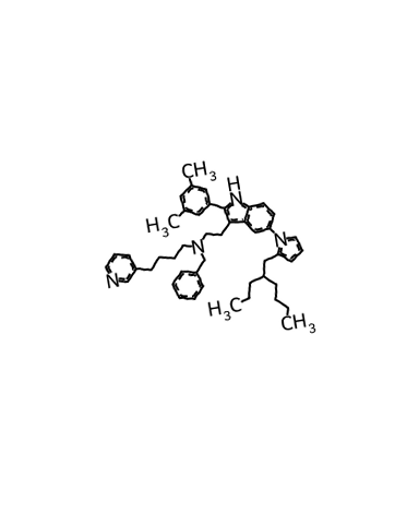 CCCCC(CCC)Cc1cccn1-c1ccc2[nH]c(-c3cc(C)cc(C)c3)c(CCN(CCCCc3cccnc3)Cc3ccccc3)c2c1